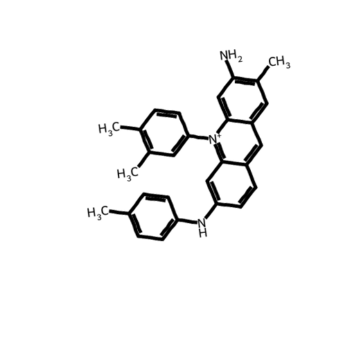 Cc1ccc(Nc2ccc3cc4cc(C)c(N)cc4[n+](-c4ccc(C)c(C)c4)c3c2)cc1